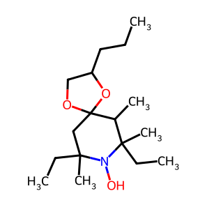 CCCC1COC2(CC(C)(CC)N(O)C(C)(CC)C2C)O1